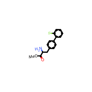 COC(=O)C(N)Cc1ccc(-c2ccccc2F)cc1